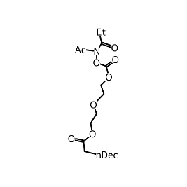 CCCCCCCCCCCC(=O)OCCOCCOC(=O)ON(C(C)=O)C(=O)CC